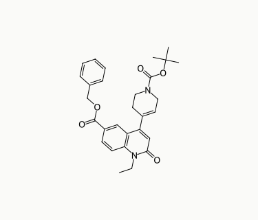 CCn1c(=O)cc(C2=CCN(C(=O)OC(C)(C)C)CC2)c2cc(C(=O)OCc3ccccc3)ccc21